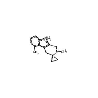 Cc1nccc2[nH]c3c(c12)CC1(CC1)N(C)C3